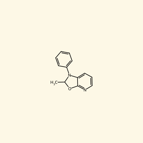 CC1Oc2ncccc2N1c1ccccc1